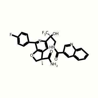 C[C@]1(C(N)=O)COc2c1cc([C@@](O)(CNC(=O)c1cnc3ccccc3c1)C(F)(F)F)nc2-c1ccc(F)cc1